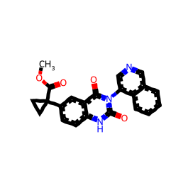 COC(=O)C1(c2ccc3[nH]c(=O)n(-c4cncc5ccccc45)c(=O)c3c2)CC1